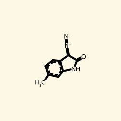 Cc1ccc2c(c1)NC(=O)C2=[N+]=[N-]